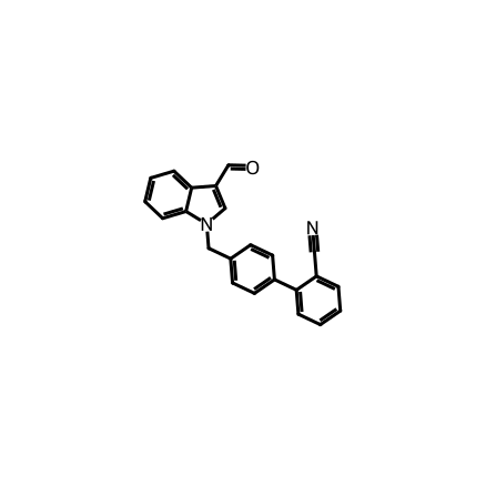 N#Cc1ccccc1-c1ccc(Cn2cc(C=O)c3ccccc32)cc1